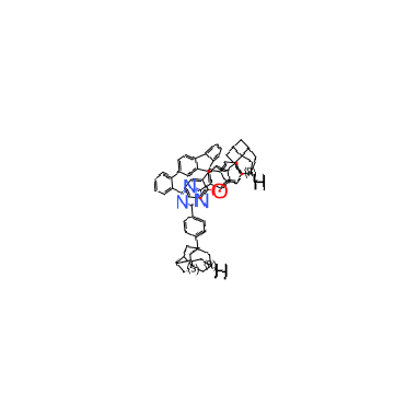 c1ccc2c(c1)Oc1ccccc1C21c2ccccc2-c2ccc(-c3ccccc3-c3nc(-c4ccc(C56CC7C8C[C@@H](C5)C[C@]7(C8)C6)cc4)nc(-c4ccc(C56CC7CC8C[C@@H](C5)CC876)cc4)n3)cc21